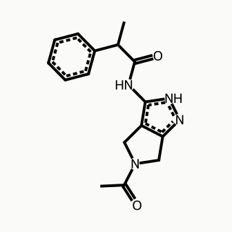 CC(=O)N1Cc2n[nH]c(NC(=O)C(C)c3ccccc3)c2C1